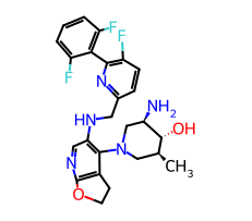 C[C@H]1CN(c2c(NCc3ccc(F)c(-c4c(F)cccc4F)n3)cnc3c2CCO3)C[C@@H](N)[C@@H]1O